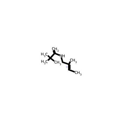 C=C(NC/C(C)=C/C)C(C)(C)C